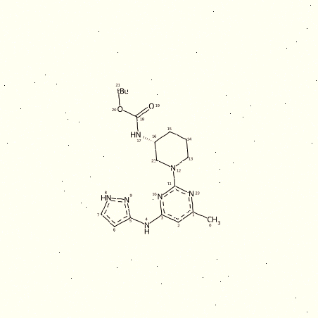 Cc1cc(Nc2cc[nH]n2)nc(N2CCC[C@@H](NC(=O)OC(C)(C)C)C2)n1